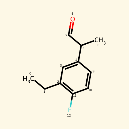 CCc1cc(C(C)C=O)ccc1F